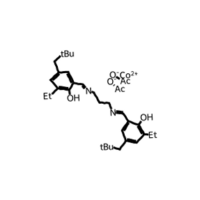 CC(=O)[O-].CC(=O)[O-].CCc1cc(CC(C)(C)C)cc(C=NCCCN=Cc2cc(CC(C)(C)C)cc(CC)c2O)c1O.[Co+2]